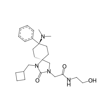 CN(C)[C@]1(c2ccccc2)CC[C@]2(CC1)CN(CC(=O)NCCO)C(=O)N2CC1CCC1